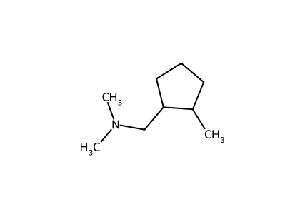 CC1CCCC1CN(C)C